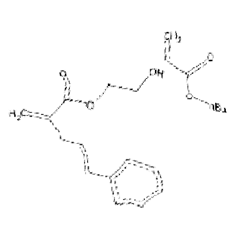 C=C(CC=Cc1ccccc1)C(=O)OCCO.C=CC(=O)OCCCC